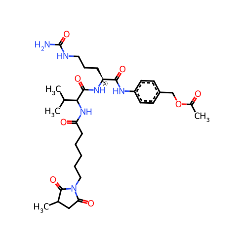 CC(=O)OCc1ccc(NC(=O)[C@H](CCCNC(N)=O)NC(=O)C(NC(=O)CCCCCN2C(=O)CC(C)C2=O)C(C)C)cc1